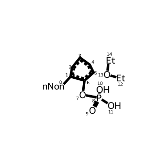 CCCCCCCCCc1ccccc1OP(=O)(O)O.CCOCC